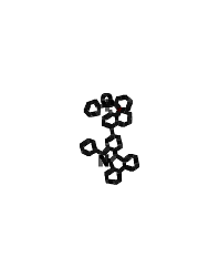 O=P(c1ccccc1)(c1ccccc1)c1ccc(-c2ccc3c(c2)c(-c2ccccc2)nc2c4ccccc4c4ccccc4c32)c2ccccc12